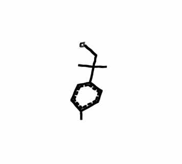 Cc1ccc(C(C)(C)CCl)cc1